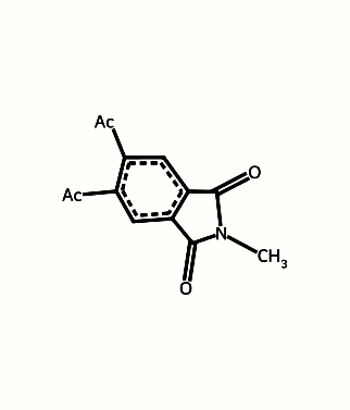 CC(=O)c1cc2c(cc1C(C)=O)C(=O)N(C)C2=O